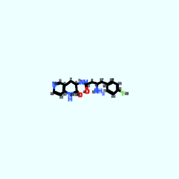 N[C@@H](CC(=O)NC1Cc2cnccc2NC1=O)Cc1ccc(F)cc1